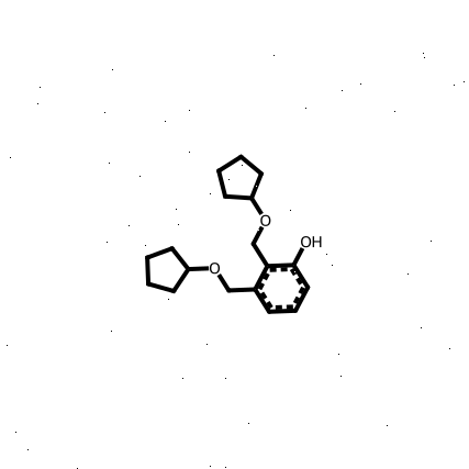 Oc1cccc(COC2CCCC2)c1COC1CCCC1